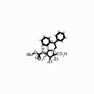 CCC1[C@](CC)(C(=O)O)N(CC(c2ccccc2)c2ccccc2)C[C@@]1(NC(=O)OC(C)(C)C)C(=O)O